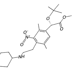 COC(=O)[C@@H](OC(C)(C)C)c1cc(C)c(CCNC2CCCCC2)c([N+](=O)[O-])c1C